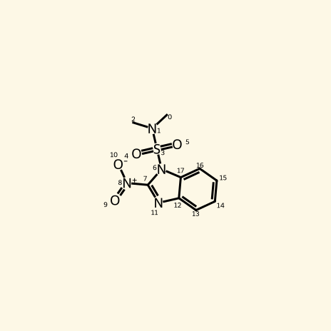 CN(C)S(=O)(=O)n1c([N+](=O)[O-])nc2ccccc21